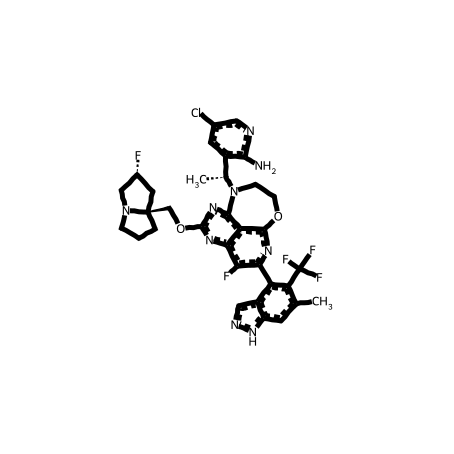 Cc1cc2[nH]ncc2c(-c2nc3c4c(nc(OC[C@@]56CCCN5C[C@H](F)C6)nc4c2F)N([C@H](C)c2cc(Cl)cnc2N)CCO3)c1C(F)(F)F